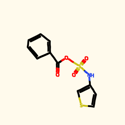 O=C(OS(=O)(=O)Nc1ccsc1)c1ccccc1